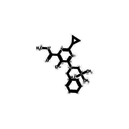 COC(=O)c1nc(C2CC2)nc(N(Cc2ccccc2)C[Si](C)(C)C)c1Cl